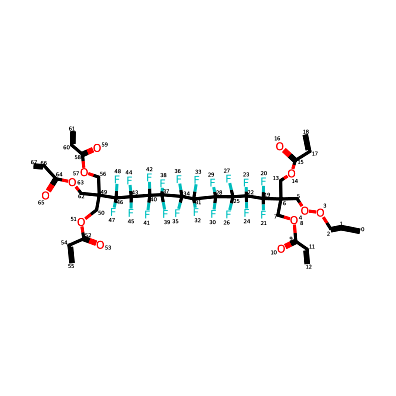 C=C=COOCC(COC(=O)C=C)(COC(=O)C=C)C(F)(F)C(F)(F)C(F)(F)C(F)(F)C(F)(F)C(F)(F)C(F)(F)C(F)(F)C(F)(F)C(F)(F)C(COC(=O)C=C)(COC(=O)C=C)COC(=O)C=C